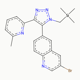 Cc1cccc(-c2nnn(C[Si](C)(C)C)c2-c2ccc3ncc(Br)cc3c2)n1